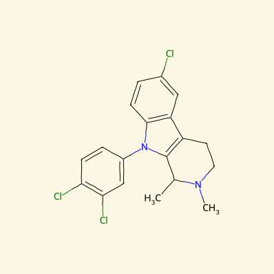 CC1c2c(c3cc(Cl)ccc3n2-c2ccc(Cl)c(Cl)c2)CCN1C